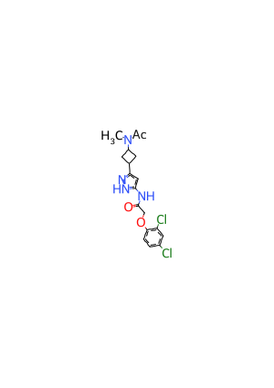 CC(=O)N(C)C1CC(c2cc(NC(=O)COc3ccc(Cl)cc3Cl)[nH]n2)C1